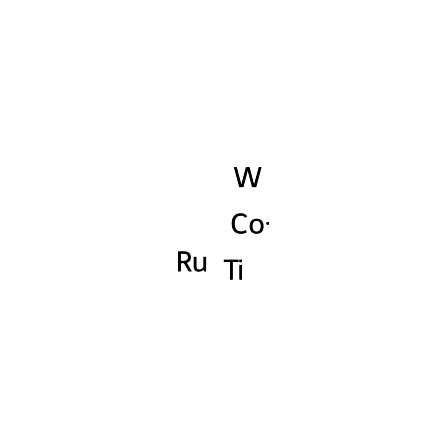 [Co].[Ru].[Ti].[W]